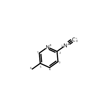 [C-]#[N+]c1ccc(C)cn1